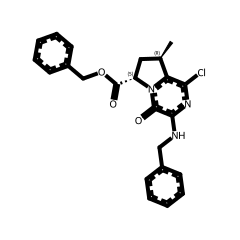 C[C@@H]1C[C@@H](C(=O)OCc2ccccc2)n2c1c(Cl)nc(NCc1ccccc1)c2=O